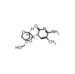 Cc1cn([C@@H]2O[C@@]3(CO)CO[C@@H]2C3)c(=O)nc1N